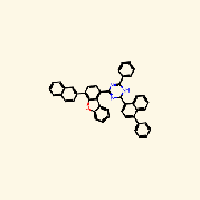 c1ccc(C2=NC(c3ccc(-c4ccc5ccccc5c4)c4oc5ccccc5c34)=NC(c3ccc(-c4ccccc4)c4ccccc34)N2)cc1